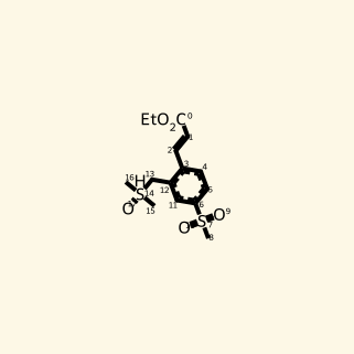 CCOC(=O)/C=C/c1ccc(S(C)(=O)=O)cc1C[SH](C)(C)=O